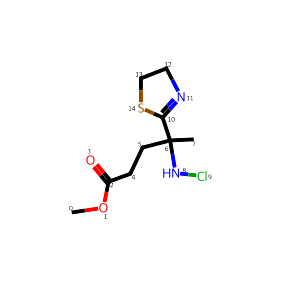 COC(=O)CCC(C)(NCl)C1=NCCS1